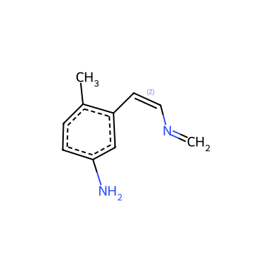 C=N/C=C\c1cc(N)ccc1C